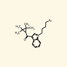 CC(=O)CCCCn1cc(C(=O)C2C(C)(C)C2(C)C)c2ccccc21